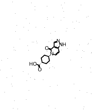 O=c1c2cn[nH]c2ccn1[C@H]1CC[C@@H](C(=O)O)CC1